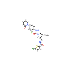 CN[C@H]1CN(C(=O)Nc2ccc(-n3ccccc3=O)cc2F)CC1CNC(=O)c1ccc(Cl)s1